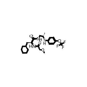 COCC(=O)N[C@@H](CC1CCCCC1)C(=O)NC[C@H](C)Nc1ccc(OC(F)(F)F)cc1